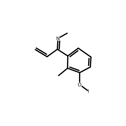 C=C/C(=N/C)c1cccc(OI)c1C